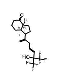 C=C(CC=CC(O)(C(F)(F)F)C(F)(F)F)C1CC[C@H]2C(=O)CCC[C@]12C